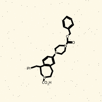 CC(C)CC1CN(C(=O)O)CCc2cc(N3CCN(C(=O)OCc4ccccc4)CC3)ccc21